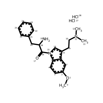 COc1ccc2c(c1)c(CCN(C)C)cn2C(=O)C(N)Cc1ccccc1.Cl.Cl